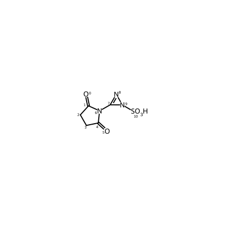 O=C1CCC(=O)N1C1=NN1S(=O)(=O)O